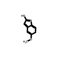 COC1=CC2=CC(O)=NC2=CC1